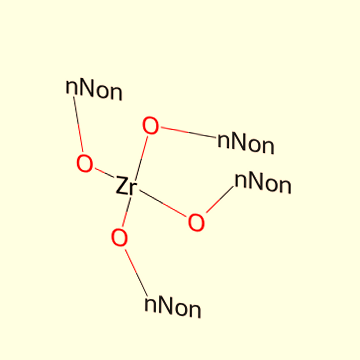 CCCCCCCCC[O][Zr]([O]CCCCCCCCC)([O]CCCCCCCCC)[O]CCCCCCCCC